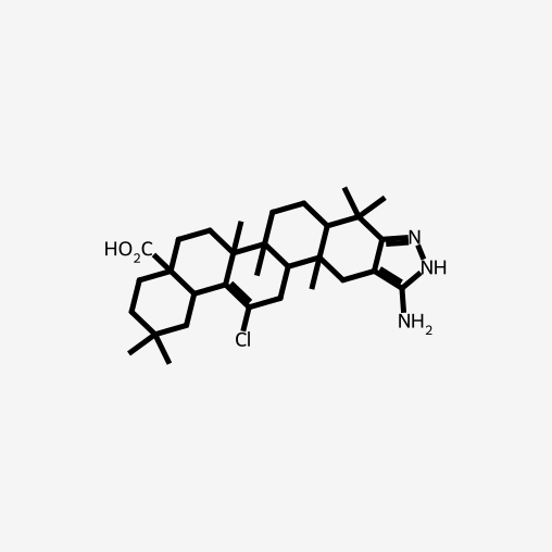 CC1(C)CCC2(C(=O)O)CCC3(C)C(=C(Cl)CC4C5(C)Cc6c(n[nH]c6N)C(C)(C)C5CCC43C)C2C1